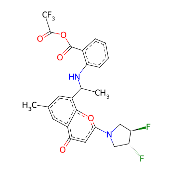 Cc1cc(C(C)Nc2ccccc2C(=O)OC(=O)C(F)(F)F)c2oc(N3C[C@@H](F)[C@H](F)C3)cc(=O)c2c1